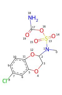 CN(C1COc2cc(Cl)ccc2O1)S(=O)(=O)OC(N)=O